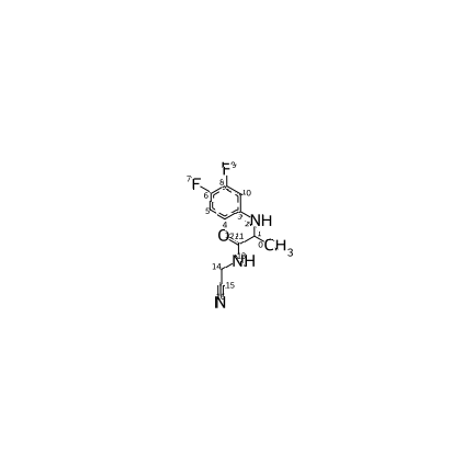 CC(Nc1ccc(F)c(F)c1)C(=O)NCC#N